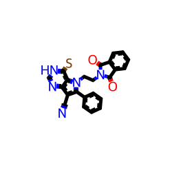 N#Cc1c(-c2ccccc2)n(CCN2C(=O)c3ccccc3C2=O)c2c(=S)[nH]cnc12